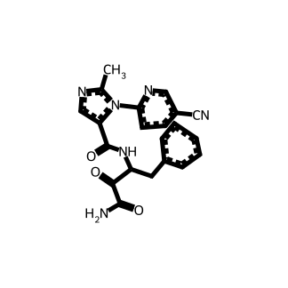 Cc1ncc(C(=O)NC(Cc2ccccc2)C(=O)C(N)=O)n1-c1ccc(C#N)cn1